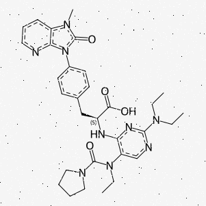 CCN(CC)c1ncc(N(CC)C(=O)N2CCCC2)c(N[C@@H](Cc2ccc(-n3c(=O)n(C)c4cccnc43)cc2)C(=O)O)n1